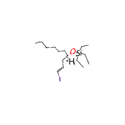 [2H]C(CC=CI)(CCCCCC)O[Si](CC)(CC)CC